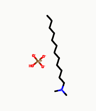 CCCCCCCCCCCCN(C)C.[O-][Br+3]([O-])([O-])O